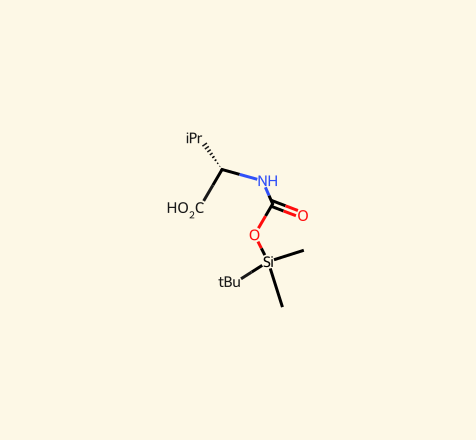 CC(C)[C@H](NC(=O)O[Si](C)(C)C(C)(C)C)C(=O)O